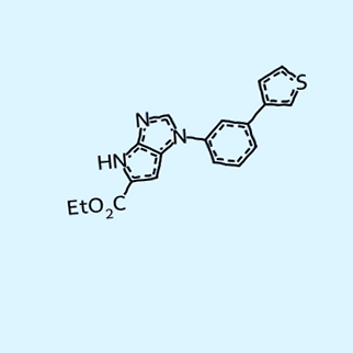 CCOC(=O)c1cc2c(ncn2-c2cccc(-c3ccsc3)c2)[nH]1